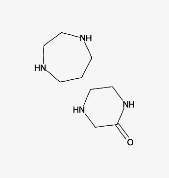 C1CNCCNC1.O=C1CNCCN1